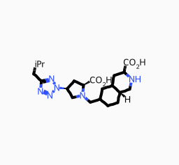 CC(C)Cc1nnn([C@H]2C[C@@H](C(=O)O)N(CC3CC[C@H]4CNC(C(=O)O)CC4C3)C2)n1